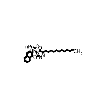 C=CCCCCCCCCCCc1nnc(Oc2cccc3ccccc23)n(NC(=O)CCC)c1=O